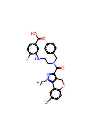 Cn1nc(C(=O)N(CCNc2cc(C(=O)O)ccc2F)Cc2ccccc2)c2c1-c1cc(Cl)ccc1OC2